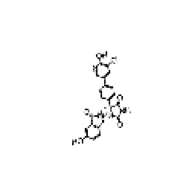 O=C1NC(=O)[C@](CN2Cc3ccc(O)cc3C2=O)(c2ccc(-c3cnc(O)c(Cl)c3)cc2)N1